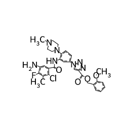 COc1ccccc1COC(=O)c1cn(-c2ccc(N3CCN(C)CC3)c(NC(=O)c3cc(N)c(F)c(C)c3Cl)c2)nn1